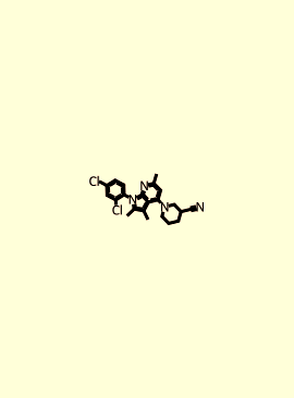 Cc1cc(N2CCCC(C#N)C2)c2c(C)c(C)n(-c3ccc(Cl)cc3Cl)c2n1